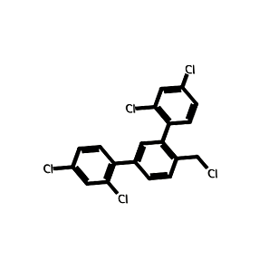 ClCc1ccc(-c2ccc(Cl)cc2Cl)cc1-c1ccc(Cl)cc1Cl